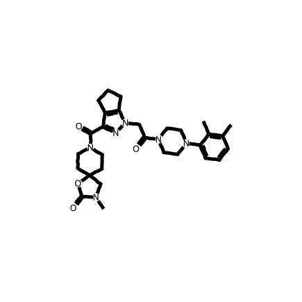 Cc1cccc(N2CCN(C(=O)Cn3nc(C(=O)N4CCC5(CC4)CN(C)C(=O)O5)c4c3CCC4)CC2)c1C